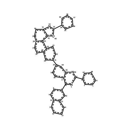 c1ccc(-c2nc(-c3ccc4ccccc4c3)c3ccc(-c4ccc5c(ccc6ccc7nc(-c8ccccc8)oc7c65)c4)cc3n2)cc1